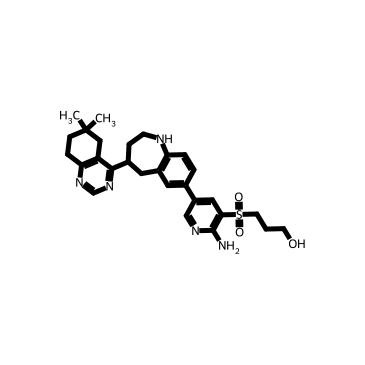 CC1(C)CCc2ncnc(C3CCNc4ccc(-c5cnc(N)c(S(=O)(=O)CCCO)c5)cc4C3)c2C1